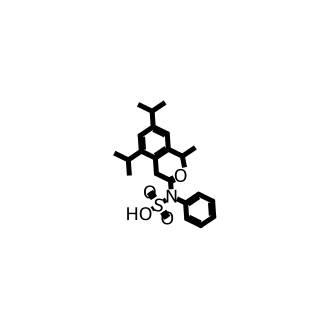 CC(C)c1cc(C(C)C)c(CC(=O)N(c2ccccc2)S(=O)(=O)O)c(C(C)C)c1